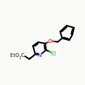 CCOC(=O)Cc1ccc(OCc2ccccc2)c(Cl)n1